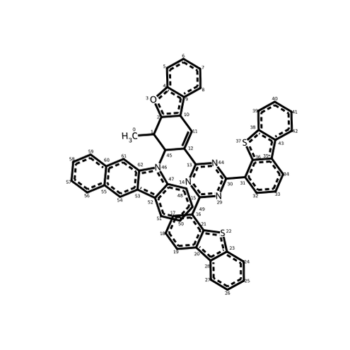 CC1c2oc3ccccc3c2C=C(c2nc(-c3cccc4c3sc3ccccc34)nc(-c3cccc4c3sc3ccccc34)n2)C1n1c2ccccc2c2cc3ccccc3cc21